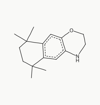 CC1(C)CCC(C)(C)c2cc3c(cc21)NCCO3